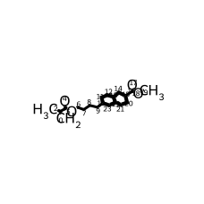 C=C(C)C(=O)OCCCCc1ccc2cc(C(=O)OC)ccc2c1